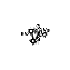 COC(=O)[C@H](Cc1ccc(O)cc1)NC(=O)[C@H](Cc1ccccc1)NC(=O)c1ccccc1Cl